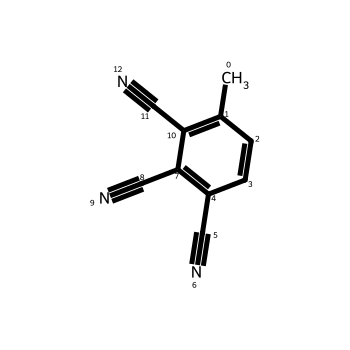 Cc1ccc(C#N)c(C#N)c1C#N